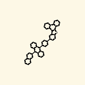 c1ccc2cc(-c3c4ccccc4c(-c4ccc(-c5ccc6sc7c8ccccc8c8ccccc8c7c6c5)cc4)c4ccccc34)ccc2c1